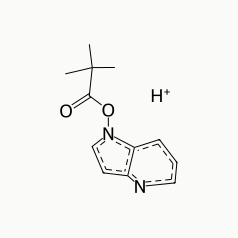 CC(C)(C)C(=O)On1ccc2ncccc21.[H+]